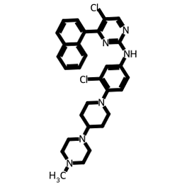 CN1CCN(C2CCN(c3ccc(Nc4ncc(Cl)c(-c5cccc6ccccc56)n4)cc3Cl)CC2)CC1